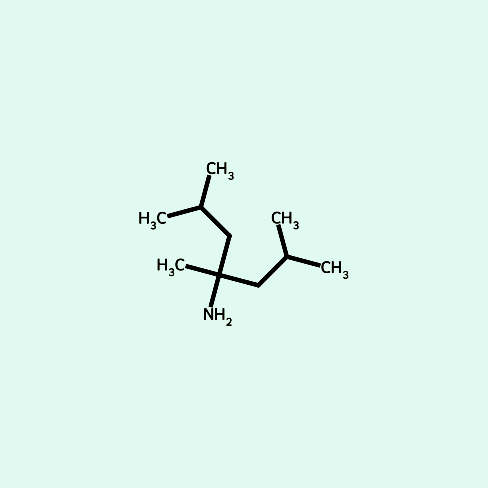 CC(C)CC(C)(N)CC(C)C